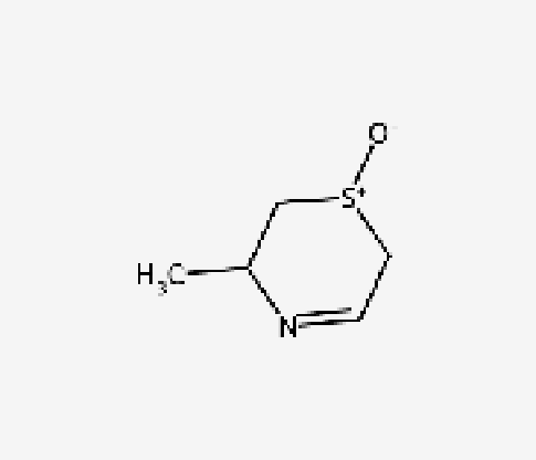 CC1C[S+]([O-])CC=N1